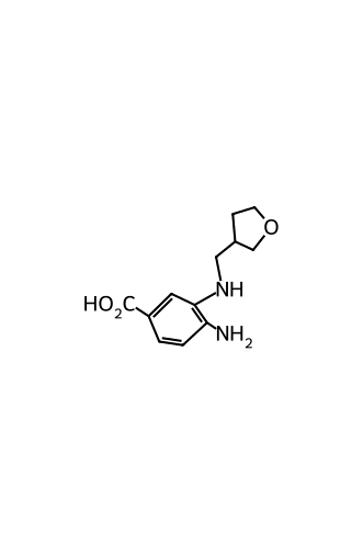 Nc1ccc(C(=O)O)cc1NCC1CCOC1